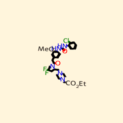 CCOC(=O)CN1CCN(CC2CC(F)(F)CN2C(=O)Cc2ccc(NC(=O)Nc3ccccc3Cl)c(OC)c2)CC1